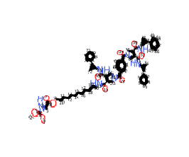 COC(=O)NCC(=O)OCCCCCCCCCCCCNC(=O)[C@@H]1CN(C(=O)c2ccc(C(=O)N3C[C@@H](C(=O)N[C@H]4C[C@@H]4c4ccccc4)[C@H](C(=O)N[C@H]4C[C@@H]4c4ccccc4)C3)cc2)C[C@H]1C(=O)N[C@H]1C[C@@H]1c1ccccc1